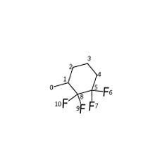 CC1CCCC(F)(F)C1(F)F